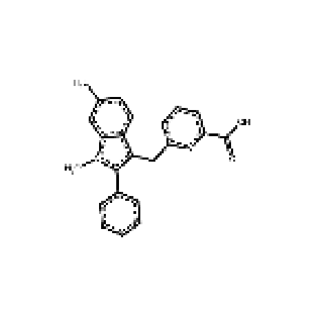 Cc1ccc2c(Cc3cccc(C(=O)O)n3)c(-c3ccccc3)n(C)c2c1